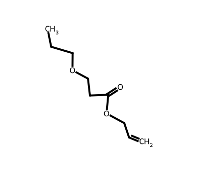 C=CCOC(=O)CCOCCC